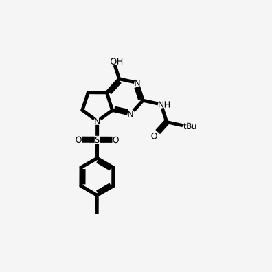 Cc1ccc(S(=O)(=O)N2CCc3c(O)nc(NC(=O)C(C)(C)C)nc32)cc1